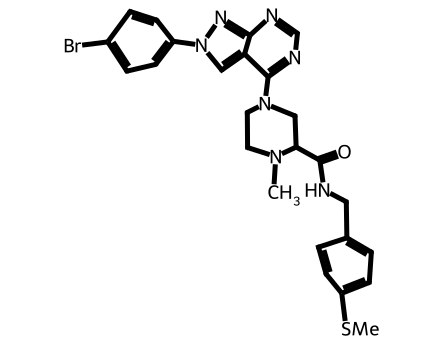 CSc1ccc(CNC(=O)C2CN(c3ncnc4nn(-c5ccc(Br)cc5)cc34)CCN2C)cc1